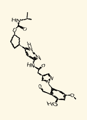 COc1cc(O)c(C=O)c(-n2cc(CC(=O)Nc3cc([C@H]4CC[C@@H](OC(=O)NC(C)C)C4)[nH]n3)cn2)c1